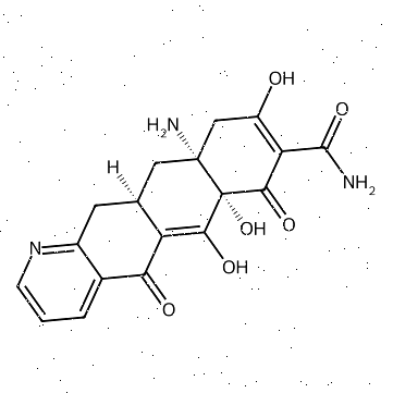 NC(=O)C1=C(O)C[C@]2(N)C[C@@H]3Cc4ncccc4C(=O)C3=C(O)[C@]2(O)C1=O